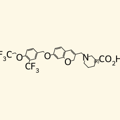 O=C(O)[C@@H]1CCCN(CC2=Cc3ccc(OCc4ccc(OCC(F)(F)F)c(C(F)(F)F)c4)cc3OC2)C1